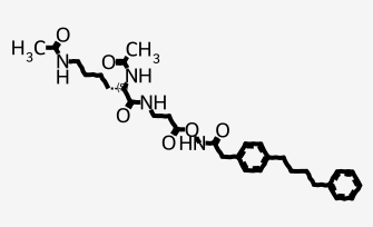 CC(=O)NCCCC[C@H](NC(C)=O)C(=O)NCCC(=O)ONC(=O)Cc1ccc(CCCCc2ccccc2)cc1